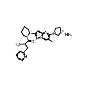 Cc1cn2nc([C@@H]3CCCCN3C(=O)C(N)Cc3ccccn3)cc2nc1N1CC[C@H](N)C1